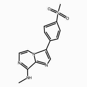 CNc1nccn2c(-c3ccc(S(C)(=O)=O)cc3)cnc12